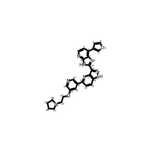 c1cc(-c2ccoc2)c2nc(-c3n[nH]c4ccc(-c5cncc(OCCN6CCCC6)c5)nc34)[nH]c2n1